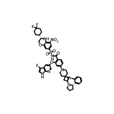 CC(C)c1ccccc1[C@@H]1CCCN1C1CC2(CCN(c3ccc(C(=O)NS(=O)(=O)c4cc5c(c([N+](=O)[O-])c4)N[C@@H](C4CCC(F)(F)CC4)CO5)c(Oc4cnc5[nH]cc(F)c5c4)c3)CC2)C1